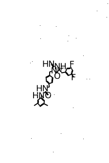 Cc1cc(C)cc(NC(=O)NCc2ccc(CN3C(=N)N[C@](C)(Cc4cc(F)cc(F)c4)C3=O)cc2)c1